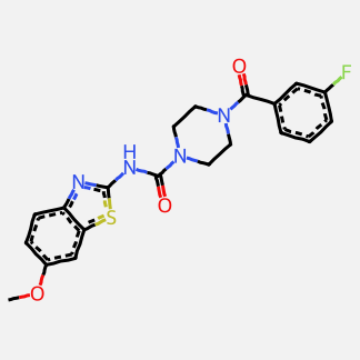 COc1ccc2nc(NC(=O)N3CCN(C(=O)c4cccc(F)c4)CC3)sc2c1